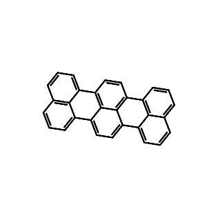 c1cc2cccc3c4ccc5c6cccc7cccc(c8ccc(c(c1)c23)c4c85)c76